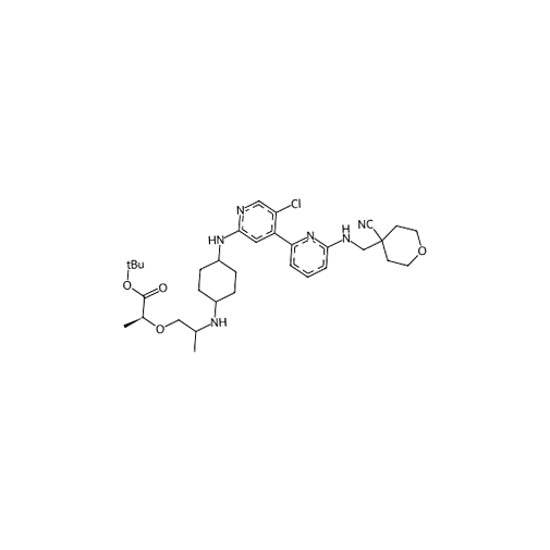 CC(CO[C@@H](C)C(=O)OC(C)(C)C)NC1CCC(Nc2cc(-c3cccc(NCC4(C#N)CCOCC4)n3)c(Cl)cn2)CC1